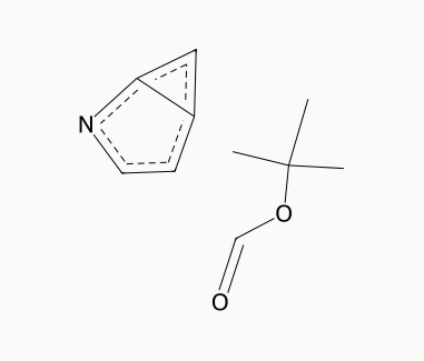 CC(C)(C)OC=O.c1cc2cc-2n1